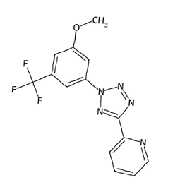 COc1cc(-n2nnc(-c3ccccn3)n2)cc(C(F)(F)F)c1